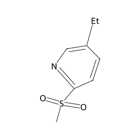 CCc1ccc(S(C)(=O)=O)nc1